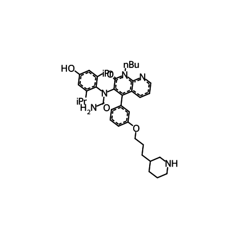 CCCCn1c(=O)c(N(C(N)=O)c2c(C(C)C)cc(O)cc2C(C)C)c(-c2cccc(OCCCC3CCCNC3)c2)c2cccnc21